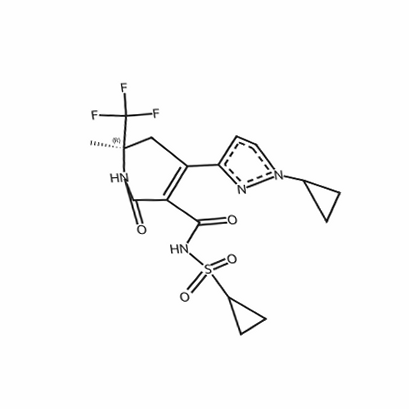 C[C@]1(C(F)(F)F)CC(c2ccn(C3CC3)n2)=C(C(=O)NS(=O)(=O)C2CC2)C(=O)N1